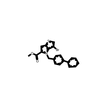 COC(=O)c1cc2scc(Br)c2n1Cc1ccc(-c2ccccc2)cc1